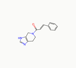 O=C(/C=C/c1ccccc1)N1CCc2nc[nH]c2C1